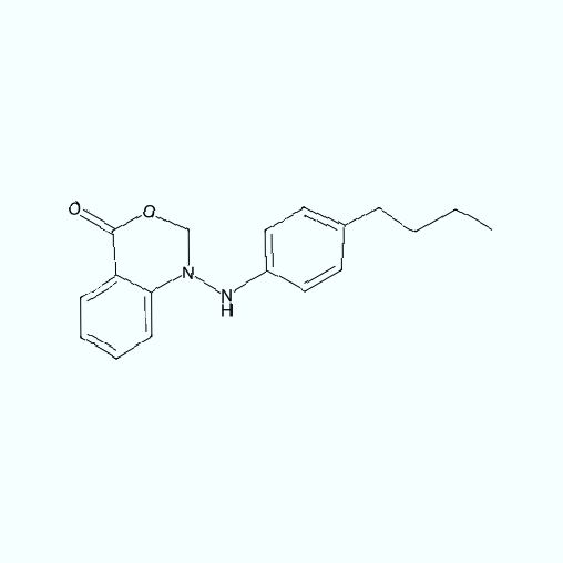 CCCCc1ccc(NN2COC(=O)c3ccccc32)cc1